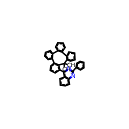 CC1(C)c2ccccc2-c2ccccc2-c2ccccc2-c2cccc(-c3nc(-c4ccccc4)nc4ccccc34)c21